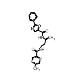 C=C(CCNC(=O)c1cnc(C)cn1)NC(=O)c1cnc(-c2ccccc2)o1